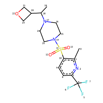 Cc1nc(C(F)(F)F)ccc1S(=O)(=O)N1CCN(C(C)C2COC2)CC1